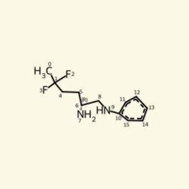 CC(F)(F)CC[C@@H](N)CNc1ccccc1